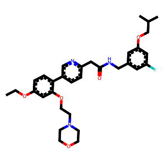 CCOc1ccc(-c2ccc(CC(=O)NCc3cc(F)cc(OCC(C)C)c3)nc2)c(OCCN2CCOCC2)c1